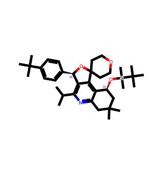 CC(C)c1nc2c(c3c1[C@@H](c1ccc(C(C)(C)C)cc1)OC31CCOCC1)[C@@H](O[Si](C)(C)C(C)(C)C)CC(C)(C)C2